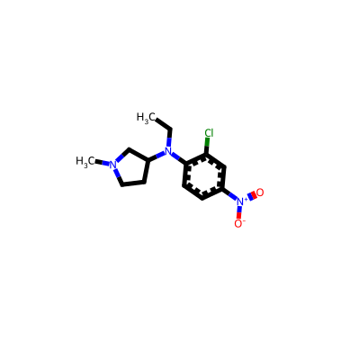 CCN(c1ccc([N+](=O)[O-])cc1Cl)C1CCN(C)C1